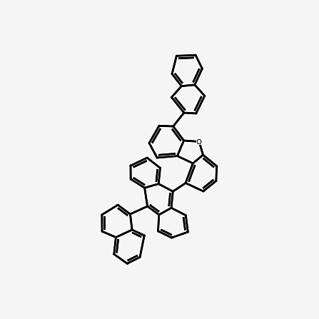 c1ccc2cc(-c3cccc4c3oc3cccc(-c5c6ccccc6c(-c6cccc7ccccc67)c6ccccc56)c34)ccc2c1